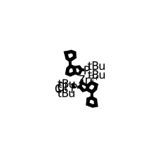 CC(C)(C)P(C1=Cc2c(-c3ccccc3)cccc2[CH]1[Zr+2][CH]1C(P(C(C)(C)C)C(C)(C)C)=Cc2c(-c3ccccc3)cccc21)C(C)(C)C.[Cl-].[Cl-]